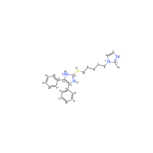 Cc1nccn1CCCCCSc1nc(-c2ccccc2)c(-c2ccccc2)[nH]1